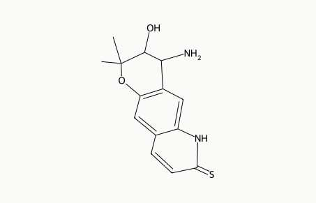 CC1(C)Oc2cc3ccc(=S)[nH]c3cc2C(N)C1O